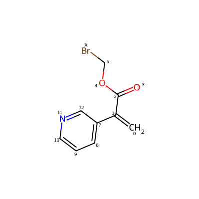 C=C(C(=O)OCBr)c1cccnc1